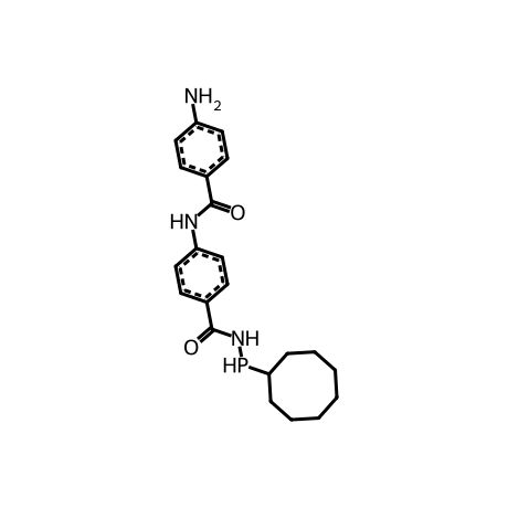 Nc1ccc(C(=O)Nc2ccc(C(=O)NPC3CCCCCCC3)cc2)cc1